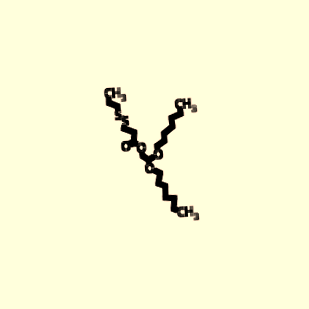 CCCCCCCOC(COC(=O)CCSSCCC)OCCCCCCC